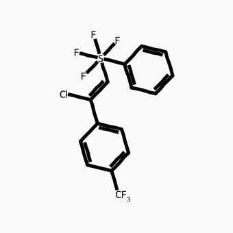 FC(F)(F)c1ccc(C(Cl)=CS(F)(F)(F)(F)c2ccccc2)cc1